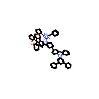 c1ccc(-c2cc(-c3ccccc3)cc(-n3c4ccccc4c4cc(-c5ccc6c(c5)c5ccc7c(c5n6-c5nc(-c6ccccc6)nc(-c6ccccc6)n5)-c5ccccc5C75c6ccccc6Oc6ccccc65)ccc43)c2)cc1